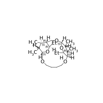 CC[C@H]1O[C@@H]2OCCCCO[C@H]3[C@H](C)[C@@H](C)[C@@H](OC[C@H]1[C@H](C)[C@H]2C)O[C@@H]3CC